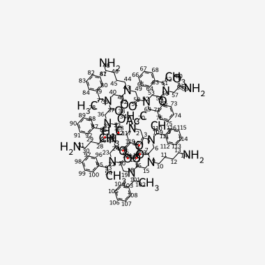 CC(=O)N(CC(=O)N(CC(=O)N(CCCCN)CC(=O)N(CC(=O)N(CC(=O)N(CCCCN)CC(=O)N(CC(=O)N(CC(=O)N(CCCCN)CC(=O)N(CC(=O)N(CC(N)=O)[C@@H](C)c1ccccc1)[C@@H](C)c1ccccc1)[C@@H](C)c1ccccc1)[C@@H](C)c1ccccc1)[C@@H](C)c1ccccc1)[C@@H](C)c1ccccc1)[C@@H](C)c1ccccc1)[C@@H](C)c1ccccc1